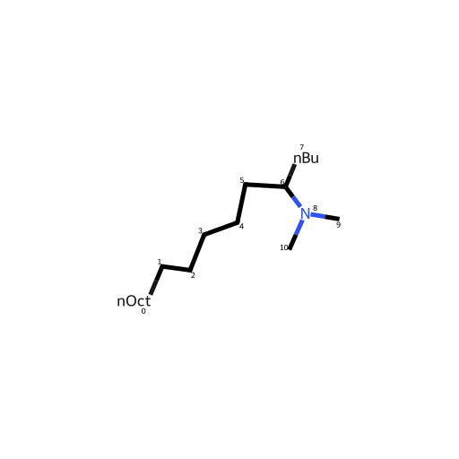 CCCCCCCCCCCCCC(CCCC)N(C)C